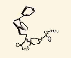 CC(C)(C)OC(=O)N1CCC2(CC1)SCC(=O)N2CCc1ccc(-c2ccccc2)o1